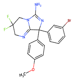 COc1ccc(C2(c3cccc(Br)c3)N=C(N)N3CC(F)(F)CN=C32)cc1